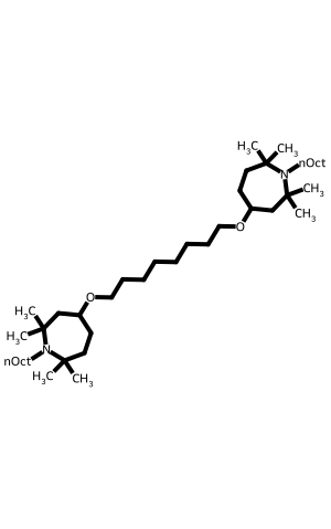 CCCCCCCCN1C(C)(C)CCC(OCCCCCCCCOC2CCC(C)(C)N(CCCCCCCC)C(C)(C)C2)CC1(C)C